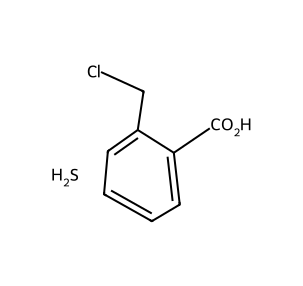 O=C(O)c1ccccc1CCl.S